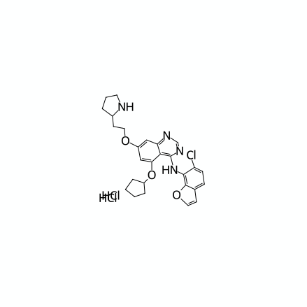 Cl.Cl.Clc1ccc2ccoc2c1Nc1ncnc2cc(OCCC3CCCN3)cc(OC3CCCC3)c12